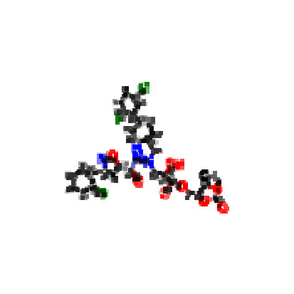 Cc1oc(=O)oc1COC(=O)[C@H](O)CN(Cc1ccc(-c2cc(Cl)ccc2F)cc1)NC(=O)c1cc(-c2ccccc2F)no1